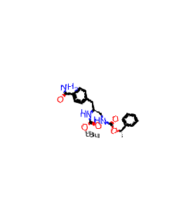 C[C@H](OC(=O)NC[C@H](Cc1ccc(C(N)=O)cc1)NC(=O)OC(C)(C)C)c1ccccc1